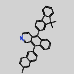 Cc1ccc2cc(-c3c4ccccc4c(-c4ccc5c(c4)C(C)(C)c4ccccc4-5)c4ccncc34)ccc2c1